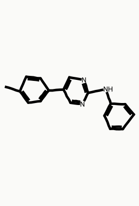 Cc1ccc(-c2cnc(Nc3ccccc3)nc2)cc1